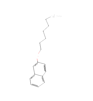 CCCCCCCCCCCCCCCCOc1[c]c2ccccc2cc1